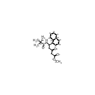 COC(=O)CC(=O)CC(N[S+]([O-])C(C)(C)C)c1cccc2ccccc12